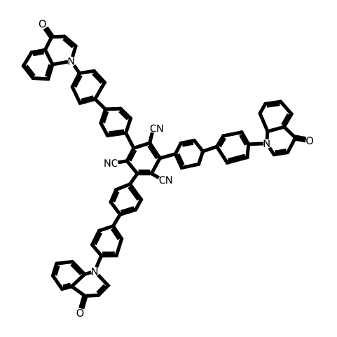 N#Cc1c(C2=CCC(c3ccc(N4C=CC(=O)C5=CC=CCC54)cc3)C=C2)c(C#N)c(-c2ccc(-c3ccc(-n4ccc(=O)c5ccccc54)cc3)cc2)c(C#N)c1-c1ccc(-c2ccc(-n3ccc(=O)c4ccccc43)cc2)cc1